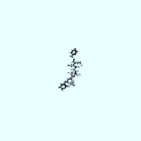 CC(C)(CNC(=O)CC(N)Cc1cc(F)c(F)cc1F)CNC(=O)C(O)C(N)COCc1ccccc1